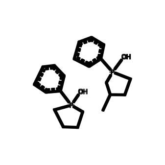 CC1CC[P](O)(c2ccccc2)C1.O[P]1(c2ccccc2)CCCC1